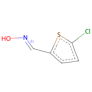 O/N=C/c1ccc(Cl)s1